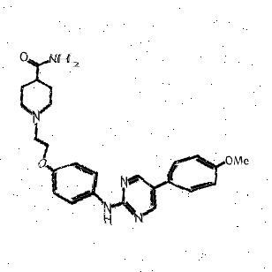 COc1ccc(-c2cnc(Nc3ccc(OCCN4CCC(C(N)=O)CC4)cc3)nc2)cc1